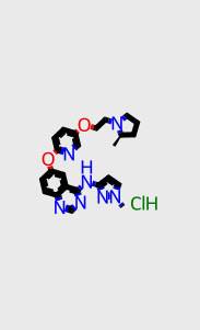 C[C@@H]1CCCN1CCOc1ccc(Oc2ccc3ncnc(Nc4ccn(C)n4)c3c2)nc1.Cl